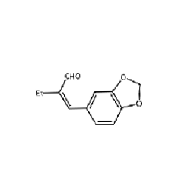 CCC(C=O)=Cc1ccc2c(c1)OCO2